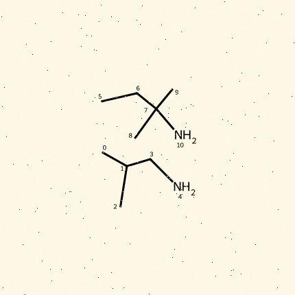 CC(C)CN.CCC(C)(C)N